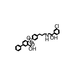 O=C(O)c1cc(-c2ccccc2)ccc1S(=O)(=O)c1ccc(CCCNC[C@H](O)c2cccc(Cl)c2)cc1